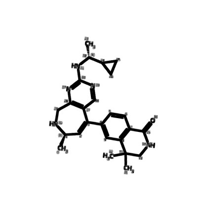 C[C@@H]1C=C(c2ccc3c(c2)C(C)(C)CNC3=O)c2cnc(N[C@H](C)C3CC3)nc2CN1